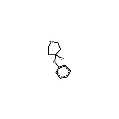 N#CC1(Nc2ccccc2)CCNCC1